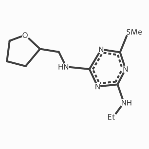 CCNc1nc(NCC2CCCO2)nc(SC)n1